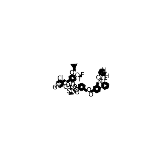 O=C(OCc1cccc(S(=O)(=O)N2CCS[C@H]2C(=O)O[C@@H](Cc2c(Cl)c[n+]([O-])cc2Cl)c2ccc(OC(F)F)c(OCC3CC3)c2)c1)c1cccc(CN(C(=O)O[C@H]2CN3CCC2CC3)c2ccccc2F)c1